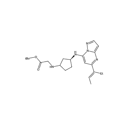 C/C=C(\CC)c1cc(N[C@H]2CCC(NCC(=O)OC(C)(C)C)C2)n2nccc2n1